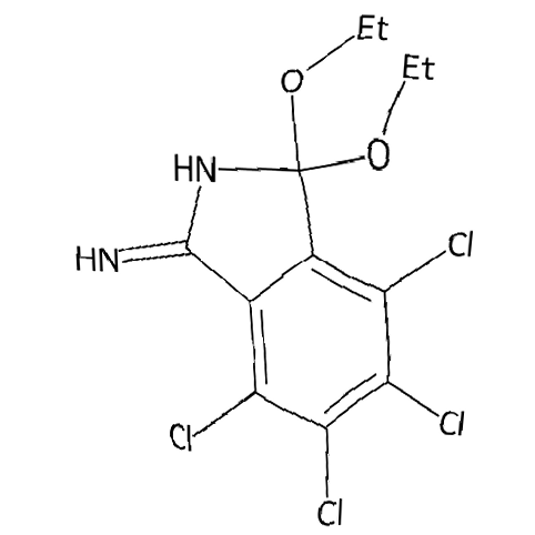 CCOC1(OCC)NC(=N)c2c(Cl)c(Cl)c(Cl)c(Cl)c21